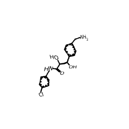 NCc1ccc(C(O)C(O)C(=O)Nc2ccc(Cl)cc2)cc1